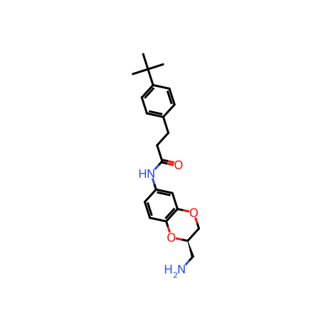 CC(C)(C)c1ccc(CCC(=O)Nc2ccc3c(c2)OC[C@@H](CN)O3)cc1